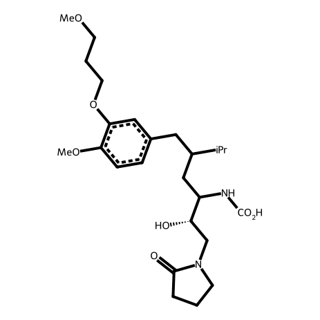 COCCCOc1cc(CC(CC(NC(=O)O)[C@@H](O)CN2CCCC2=O)C(C)C)ccc1OC